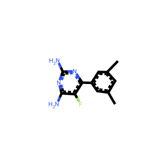 Cc1cc(C)cc(-c2nc(N)nc(N)c2F)c1